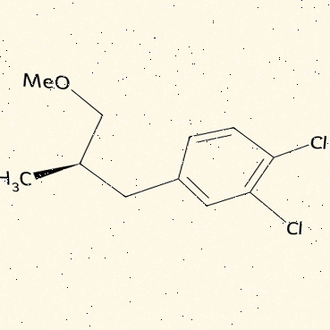 COC[C@H](C)Cc1ccc(Cl)c(Cl)c1